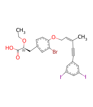 CCO[C@@H](Cc1ccc(OCC=C(C)C#Cc2cc(I)cc(I)c2)c(Br)c1)C(=O)O